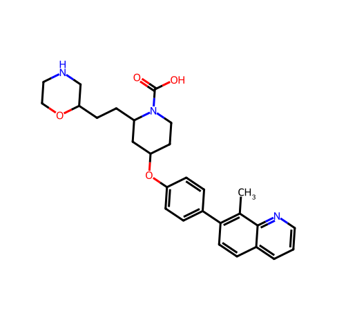 Cc1c(-c2ccc(OC3CCN(C(=O)O)C(CCC4CNCCO4)C3)cc2)ccc2cccnc12